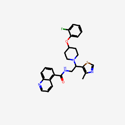 Cc1ncsc1C(CNC(=O)c1cccc2ncccc12)N1CCC(Oc2ccccc2F)CC1